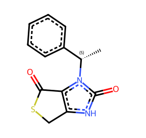 C[C@@H](c1ccccc1)n1c2c([nH]c1=O)CSC2=O